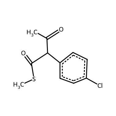 CSC(=O)C(C(C)=O)c1ccc(Cl)cc1